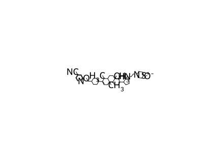 CC1C(C2=CCC(COc3cc(C#N)ccn3)CC2)=CCC2(C)C1CCC1(C)C3CCC4(NCCN5CC[S+]([O-])CC5)CCCC4C3CCC21